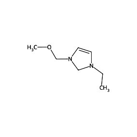 CCN1C=CN(COC)C1